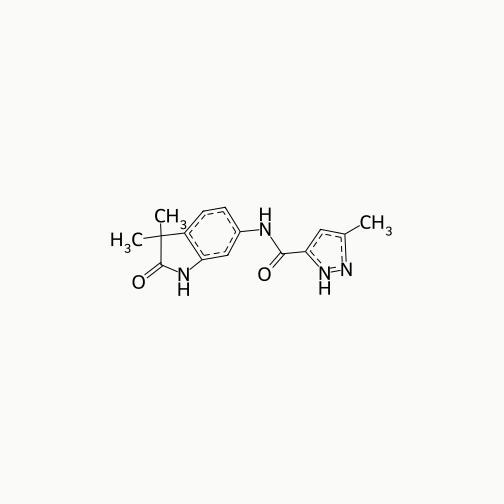 Cc1cc(C(=O)Nc2ccc3c(c2)NC(=O)C3(C)C)[nH]n1